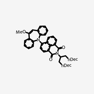 CCCCCCCCCCCC(CCCCCCCCCCC)N1C(=O)c2cccc3c(N4c5ccccc5C=C(OC)c5ccccc54)ccc(c23)C1=O